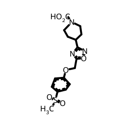 CS(=O)(=O)c1ccc(OCc2nc(C3CCN(C(=O)O)CC3)no2)cc1